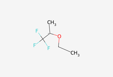 CCO[C](C)C(F)(F)F